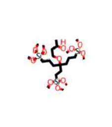 CO[Si](CCCC(CCC[Si](OC)(OC)OC)(CC[Si](OC)(OC)OC)OCCC(C)O)(OC)OC